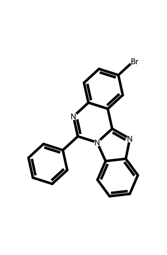 Brc1ccc2nc(-c3ccccc3)n3c4ccccc4nc3c2c1